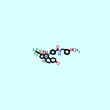 COc1cccc(CNC(=O)c2ccc([C@H]3C[C@@]4(C)[C@@H](CC[C@@]4(O)C(F)(F)C(F)(F)F)[C@@H]4CCC5=CC(=O)CCC5=C43)cc2)c1